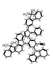 CC1(C)C2=C(CCC=C2)C2=C1c1c(n(C3=CC(N4c5ccccc5C5CCC=CC54)C(C#N)C=C3C3C=CC(c4ccc5c(c4)C4CC=CC=C4C5(C)C)N3c3ccccc3)c3ccccc13)CC2